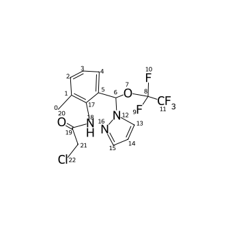 Cc1cccc(C(OC(F)(F)C(F)(F)F)n2cccn2)c1NC(=O)CCl